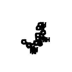 CN(C(=O)O)c1ccc(-c2c[nH]c([C@@H]3CCc4cc(-c5cc(Cl)ccc5-n5cnnn5)cc(=O)n43)n2)c(Cl)c1